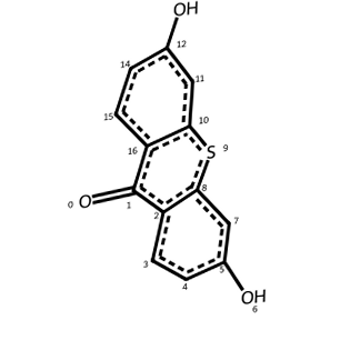 O=c1c2ccc(O)cc2sc2cc(O)ccc12